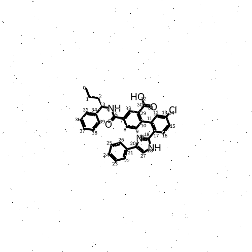 CCC[C@@H](NC(=O)c1ccc(-c2cc(Cl)ccc2-c2nc(-c3ccccc3)c[nH]2)c(C(=O)O)c1)c1ccccc1